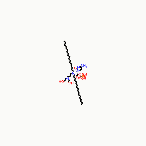 CCCCCCCCCCCCCCCCCCN(CCCCCCCCCCCCCCCCCC)CCCN(CCO)CCO.Nc1ccn(C[C@@H](CO)OCP(=O)(O)O)c(=O)n1